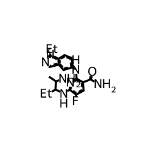 CCC(Nc1nc(Nc2ccc3c(cnn3CC)c2)c(C(N)=O)cc1F)C(C)N